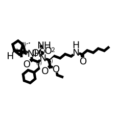 CCCCCC(=O)NCCCC[C@@H](C(=O)OCC)N([C@@H](CC1CCCCC1)C(=O)N[C@H]1C[C@H]2CC[C@]1(C)C2(C)C)S(N)(=O)=O